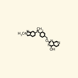 CN(c1ccc(COc2nc(O)c3ccncc3n2)cc1)c1ccc2cn(C)nc2c1